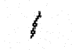 CCCC1CCC(COC2CCC(CCC=CC=C(F)C#N)CC2)CC1